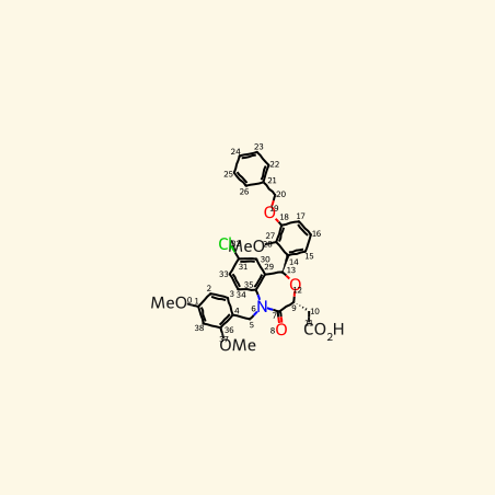 COc1ccc(CN2C(=O)[C@@H](CC(=O)O)O[C@H](c3cccc(OCc4ccccc4)c3OC)c3cc(Cl)ccc32)c(OC)c1